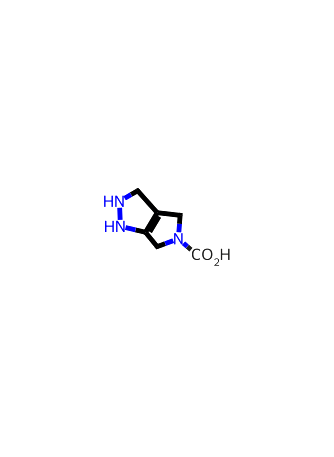 O=C(O)N1CC2=C(C1)NNC2